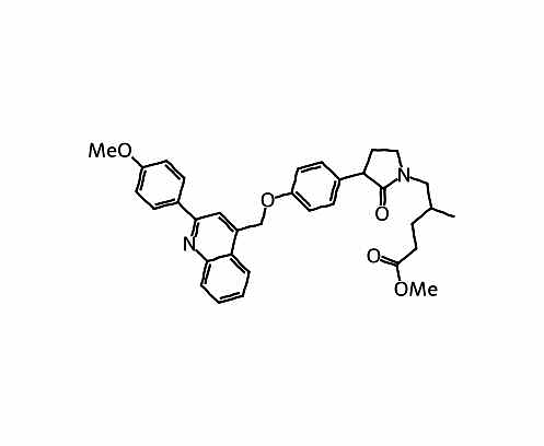 COC(=O)CCC(C)CN1CCC(c2ccc(OCc3cc(-c4ccc(OC)cc4)nc4ccccc34)cc2)C1=O